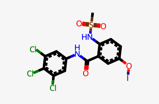 CS(=O)(=O)Nc1ccc(OI)cc1C(=O)Nc1cc(Cl)c(Cl)c(Cl)c1